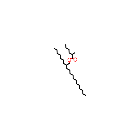 CCCCCCCCCCCCC(CCCCCCC)COC(=O)C(C)CCCC